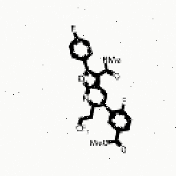 CNC(=O)c1c(-c2ccc(F)cc2)oc2nc(CCC(F)(F)F)c(-c3cc(C(=O)OC)ccc3F)cc12